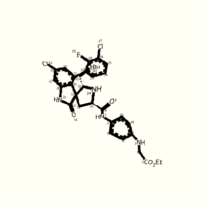 CCOC(=O)CNc1ccc(NC(=O)[C@H]2CC3(C(=O)Nc4cc(Cl)cc(-c5cccc(Cl)c5F)c43)[C@H](CC(C)(C)C)N2)cc1